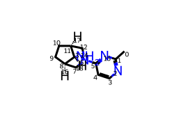 Cc1nccc(N2C[C@H]3CC[C@@H](C2)[C@@H]3N)n1